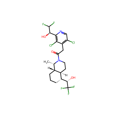 C[C@H]1[C@H]2CCC[C@@H]([C@H](O)C(F)(F)F)[C@@H]2CCN1C(=O)Cc1c(Cl)cnc([C@@H](O)C(F)F)c1Cl